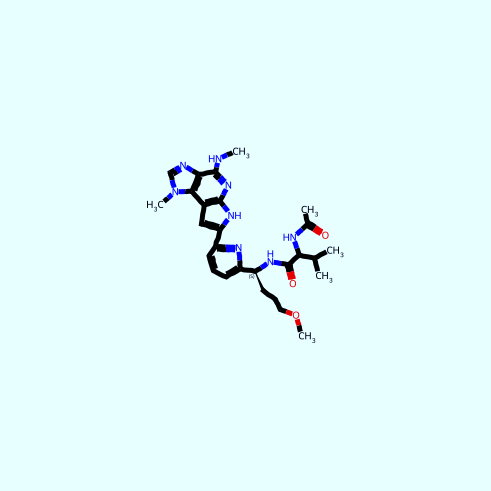 CNc1nc2[nH]c(-c3cccc([C@H](CCCOC)NC(=O)C(NC(C)=O)C(C)C)n3)cc2c2c1ncn2C